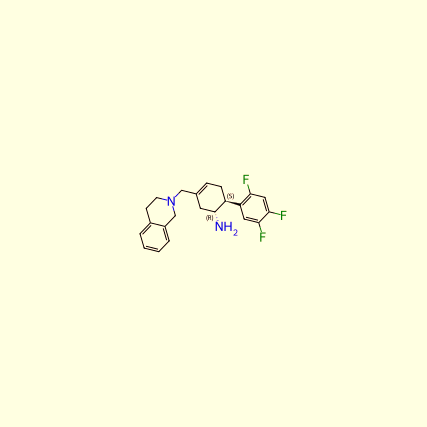 N[C@@H]1CC(CN2CCc3ccccc3C2)=CC[C@H]1c1cc(F)c(F)cc1F